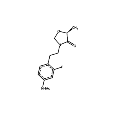 CC(=O)Nc1ccc(CCN2CO[C@@H](C)C2=O)c(F)c1